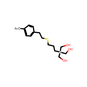 CC(=O)Oc1ccc(CCSCCC[Si](CO)(CO)CO)cc1